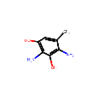 Nc1c(O)cc(C(F)(F)F)c(N)c1O